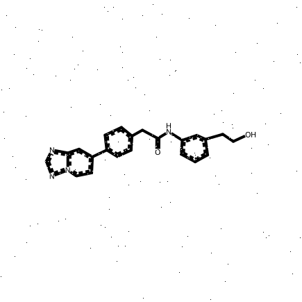 O=C(Cc1ccc(-c2ccn3ncnc3c2)cc1)Nc1cccc(CCO)c1